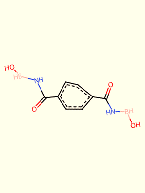 O=C(NBO)c1ccc(C(=O)NBO)cc1